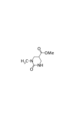 COC(=O)C1CNC(=O)N(C)C1